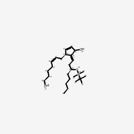 CCCCC[C@@H](C/C=C1/C(O)C=C[C@@H]1C/C=C\CCCCO)O[Si](C)(C)C(C)(C)C